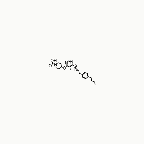 CCCCc1ccc(CC=NOc2ncnc(OC3CCN(C(=O)O)CC3)c2C)cc1